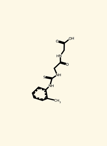 Cc1ccccc1NC(=S)NCC(=O)NCC(=O)O